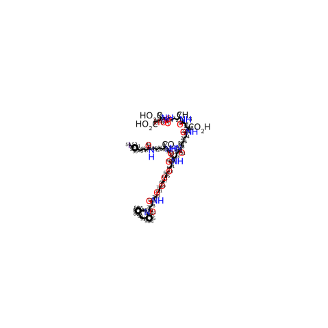 C[C@H](CCCOP(=O)(O)NC(CCC(=O)O)C(=O)O)NC(=O)CC[C@H](NC(=O)CCCCCNC(=O)CCC(COCNC(CCCCNC(=O)CCCc1ccc(I)cc1)C(=O)O)NC(=O)CCOCCOCCOCCOCCNC(=O)CCC(=O)N1Cc2ccccc2C#Cc2ccccc21)C(=O)O